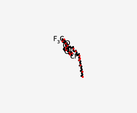 CC(C)=CCC/C(C)=C/CC/C(C)=C/CC/C(C)=C/CC/C(C)=C/CC/C(C)=C/CC/C(C)=C/Cc1c(C)c(OC(=O)c2ccc(C(F)(F)F)cc2)c2ccccc2c1OC(=O)c1ccc(C(F)(F)F)cc1